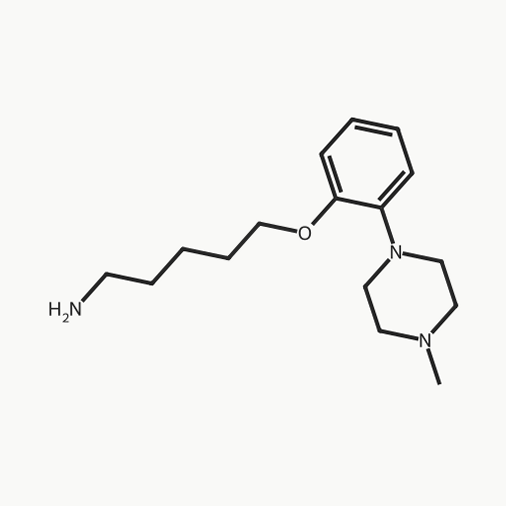 CN1CCN(c2ccccc2OCCCCCN)CC1